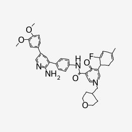 COc1ccc(-c2cnc(N)c(-c3ccc(NC(=O)c4cn(CC5CCOCC5)cc(C5CC=C(C)C=C5F)c4=O)cc3)c2)cc1OC